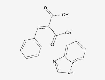 O=C(O)C(=Cc1ccccc1)C(=O)O.c1ccc2[nH]cnc2c1